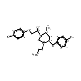 CSCC[C@H]1CN(C(=O)COc2ccc(Cl)cc2)[C@H](C)CN1Cc1ccc(F)cc1